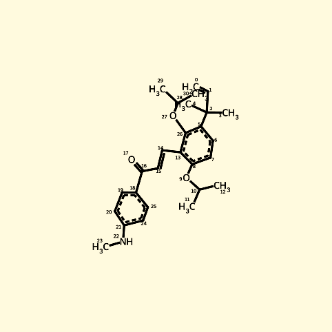 C=CC(C)(C)c1ccc(OC(C)C)c(/C=C/C(=O)c2ccc(NC)cc2)c1OC(C)C